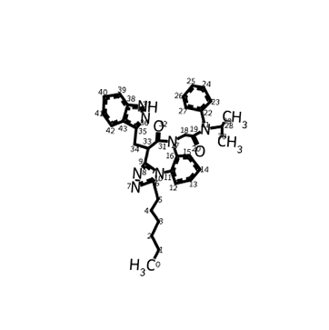 CCCCCCc1nnc2n1-c1ccccc1N(CC(=O)N(c1ccccc1)C(C)C)C(=O)C2Cc1n[nH]c2ccccc12